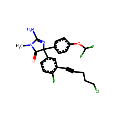 CN1C(=O)C(c2ccc(OC(F)F)cc2)(c2ccc(F)c(C#CCCCCl)c2)N=C1N